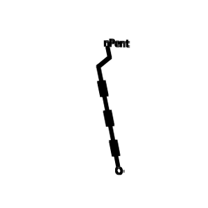 CCCCCCCC#CC#CC#C[O]